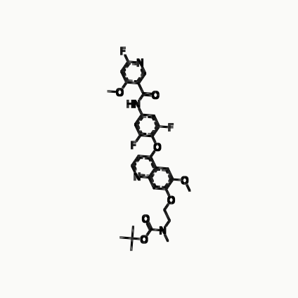 COc1cc2c(Oc3c(F)cc(NC(=O)c4cnc(F)cc4OC)cc3F)ccnc2cc1OCCN(C)C(=O)OC(C)(C)C